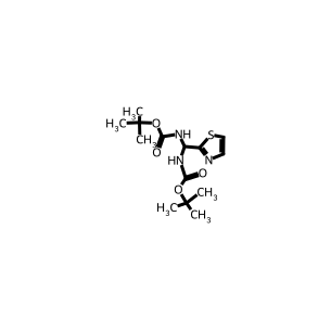 CC(C)(C)OC(=O)NC(NC(=O)OC(C)(C)C)c1nccs1